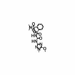 COc1nc(NC(=O)NS(=O)(=O)c2ccccc2S(=O)(=O)N(C)C)nn1C